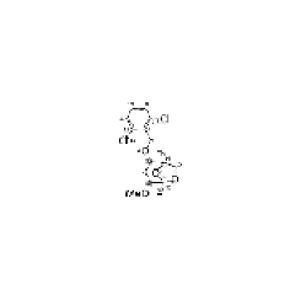 CO[C@@H]1C[C@H](OCc2c(Cl)cccc2Cl)[C@H]2CO[C@@H]1O2